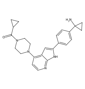 NC1(c2ccc(-c3cc4c(N5CCN(C(=O)C6CC6)CC5)ccnc4[nH]3)cc2)CC1